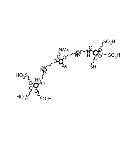 CNCCOc1c(OCCCCc2cn(CCCNC(=O)c3cc(OCCCS)c(OCCCS(=O)(=O)O)c(OCCCS(=O)(=O)O)c3)nn2)cc(C(C)=O)cc1OCCCCc1cn(CCCNC(=O)c2cc(OCCCS(=O)(=O)O)c(OCCCS(=O)(=O)O)c(OCCCS(=O)(=O)O)c2)nn1